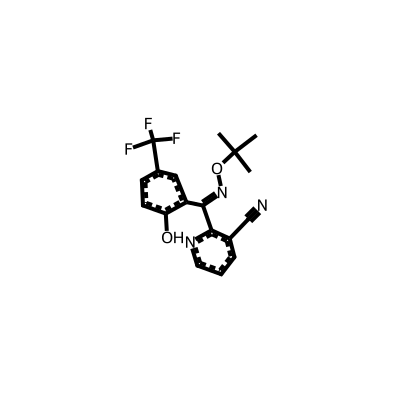 CC(C)(C)ON=C(c1cc(C(F)(F)F)ccc1O)c1ncccc1C#N